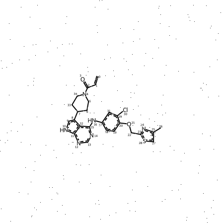 C=CC(=O)N1CCC(c2c[nH]c3ncnc(Nc4ccc(OCc5nc(C)cs5)c(Cl)c4)c23)CC1